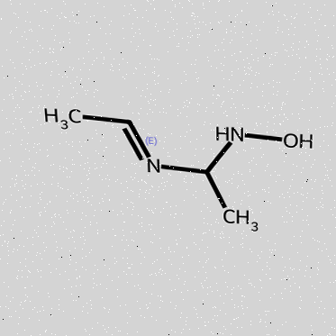 C/C=N/C(C)NO